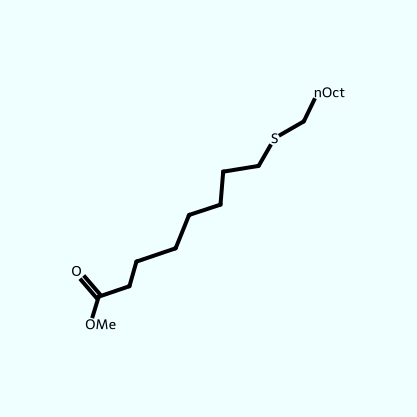 CCCCCCCCCSCCCCCCCC(=O)OC